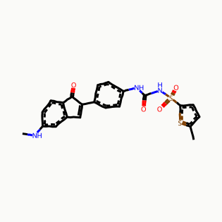 CNc1ccc2c(c1)C=C(c1ccc(NC(=O)NS(=O)(=O)c3ccc(C)s3)cc1)C2=O